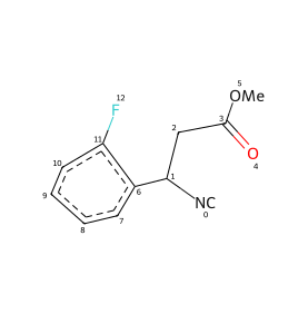 [C-]#[N+]C(CC(=O)OC)c1ccccc1F